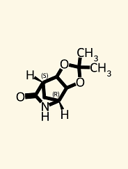 CC1(C)OC2C(O1)[C@H]1C[C@@H]2C(=O)N1